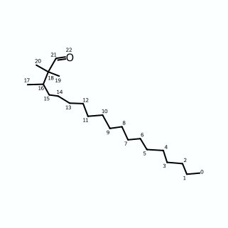 CCCCCCCCCCCCCCCCC(C)C(C)(C)C=O